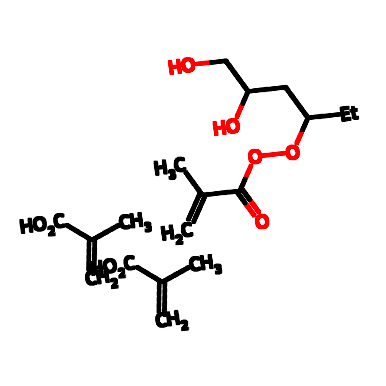 C=C(C)C(=O)O.C=C(C)C(=O)O.C=C(C)C(=O)OOC(CC)CC(O)CO